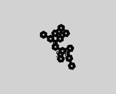 c1ccc(-c2ccc(N(c3cccc(-c4cc5c6ccccc6n(-c6ccc(-c7ccccc7)cc6)c5c5c4sc4ccccc45)c3)c3ccc4c(c3)C3(c5ccccc5-c5ccccc53)c3ccccc3-4)cc2)cc1